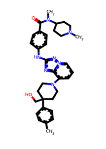 Cc1ccc(C2(CO)CCN(c3cccn4nc(Nc5ccc(C(=O)N(C)C6CCN(C)CC6)cc5)nc34)CC2)cc1